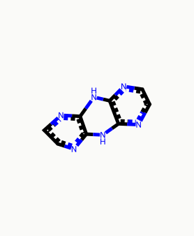 c1cnc2c(n1)Nc1nccnc1N2